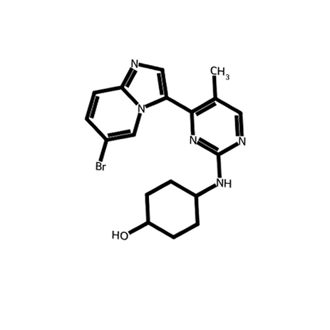 Cc1cnc(NC2CCC(O)CC2)nc1-c1cnc2ccc(Br)cn12